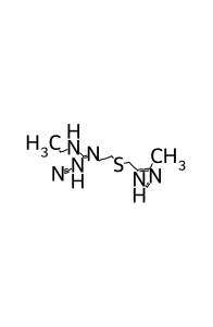 CCN/C(=N/CCSCc1[nH]cnc1C)NC#N